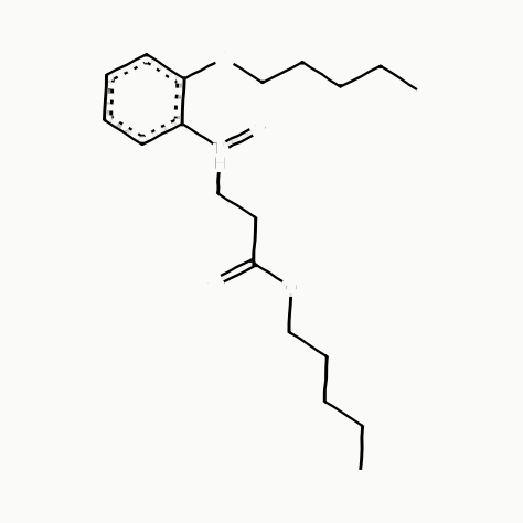 CCCCCOC(=O)CC[PH](=O)c1ccccc1OCCCCC